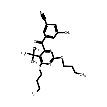 CCCCOc1nc(OCCCC)c(C(C)(C)C)c(C(=O)c2cc(C)cc(C#N)c2)n1